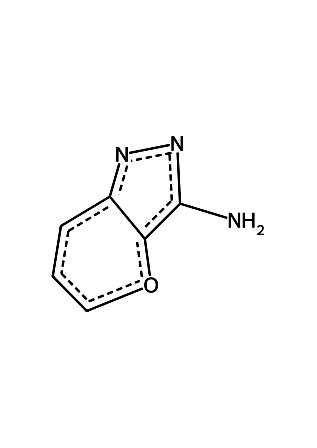 Nc1nnc2cccoc1-2